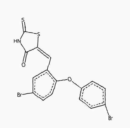 O=C1NC(=S)S/C1=C/c1cc(Br)ccc1Oc1ccc(Br)cc1